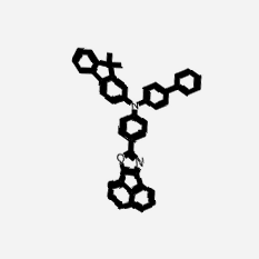 CC1(C)c2ccccc2-c2ccc(N(c3ccc(-c4ccccc4)cc3)c3ccc(-c4nc5c(o4)-c4cccc6cccc-5c46)cc3)cc21